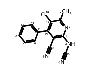 Cc1nc(NC#N)c(C#N)c(-c2ccccc2)c1Cl